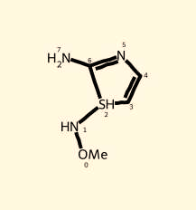 CON[SH]1C=CN=C1N